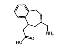 NCC1=CCc2ccccc2C(CC(=O)O)C1